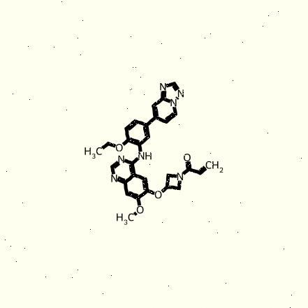 C=CC(=O)N1CC(Oc2cc3c(Nc4cc(-c5ccn6ncnc6c5)ccc4OCC)ncnc3cc2OC)C1